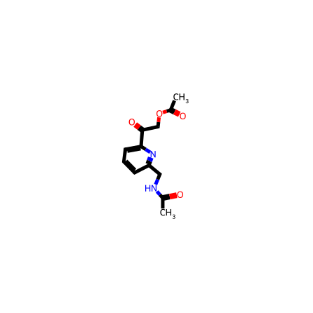 CC(=O)NCc1cccc(C(=O)COC(C)=O)n1